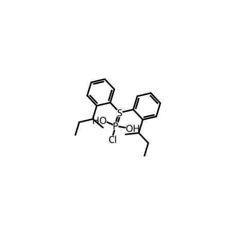 CCC(C)c1ccccc1S(c1ccccc1C(C)CC)=P(O)(O)Cl